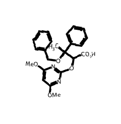 COc1cc(OC)nc(OC(C(=O)O)C(C)(OCc2ccccc2)c2ccccc2)n1